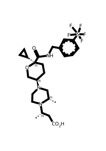 C[C@@H](CC(=O)O)N1CCN([C@@H]2CC[C@@](C(=O)NCc3cccc(S(F)(F)(F)(F)F)c3)(C3CC3)OC2)C[C@@H]1C